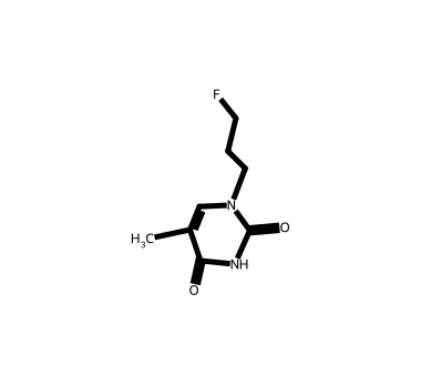 Cc1cn(CCCF)c(=O)[nH]c1=O